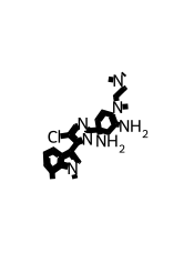 Cc1cccc2c(-c3nc(C4(N)C=CC(N(C)CCN(C)C)=C(N)C4)ncc3Cl)cn(C)c12